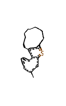 Cc1ccc2c3c(sc2c1)CCCCCC3